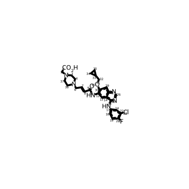 O=C(O)CN1CCN(CC=CC(=O)Nc2cc3c(Nc4ccc(F)c(Cl)c4)ncnc3cc2OCC2CC2)CC1